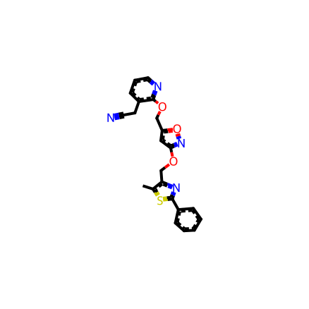 Cc1sc(-c2ccccc2)nc1COc1cc(COc2ncccc2CC#N)on1